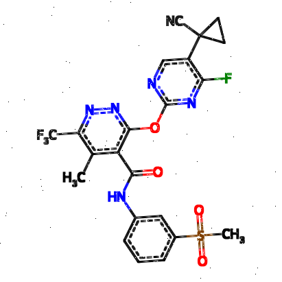 Cc1c(C(F)(F)F)nnc(Oc2ncc(C3(C#N)CC3)c(F)n2)c1C(=O)Nc1cccc(S(C)(=O)=O)c1